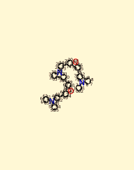 c1ccc(-n2c3ccccc3c3cc(-c4ccc5oc6ccc(-c7cccc(-n8c9ccccc9c9cc(-c%10ccc%11oc%12ccc(-c%13ccc%14c(c%13)c%13ccccc%13n%14-c%13ccccc%13)cc%12c%11c%10)ccc98)c7)cc6c5c4)ccc32)cc1